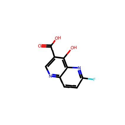 O=C(O)c1cnc2ccc(F)nc2c1O